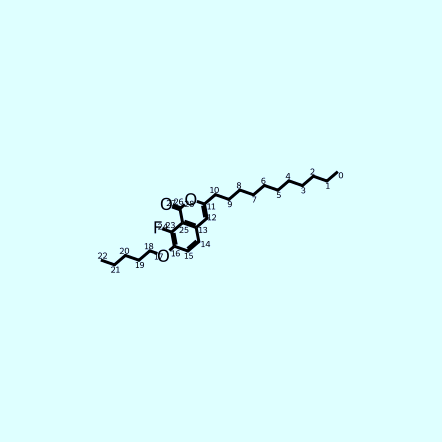 CCCCCCCCCCCc1cc2ccc(OCCCCC)c(F)c2c(=O)o1